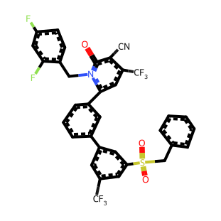 N#Cc1c(C(F)(F)F)cc(-c2cccc(-c3cc(C(F)(F)F)cc(S(=O)(=O)Cc4ccccc4)c3)c2)n(Cc2ccc(F)cc2F)c1=O